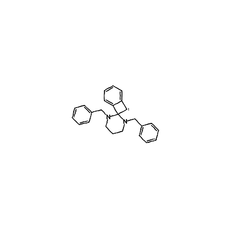 [C]1c2ccccc2C12N(Cc1ccccc1)CCCN2Cc1ccccc1